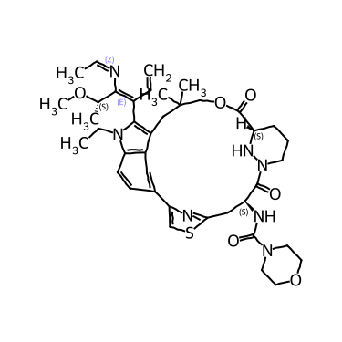 C=C/C(=C(\N=C/C)[C@H](C)OC)c1c2c3cc(ccc3n1CC)-c1csc(n1)C[C@H](NC(=O)N1CCOCC1)C(=O)N1CCC[C@H](N1)C(=O)OCC(C)(C)C2